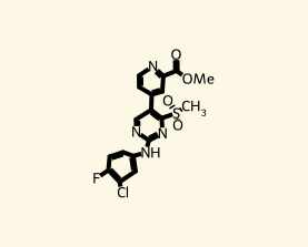 COC(=O)c1cc(-c2cnc(Nc3ccc(F)c(Cl)c3)nc2S(C)(=O)=O)ccn1